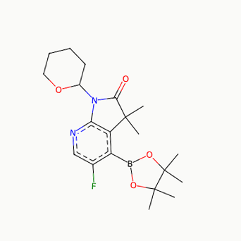 CC1(C)C(=O)N(C2CCCCO2)c2ncc(F)c(B3OC(C)(C)C(C)(C)O3)c21